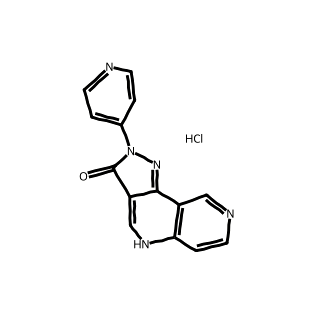 Cl.O=c1c2c[nH]c3ccncc3c-2nn1-c1ccncc1